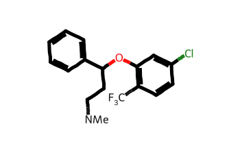 CNCCC(Oc1cc(Cl)ccc1C(F)(F)F)c1ccccc1